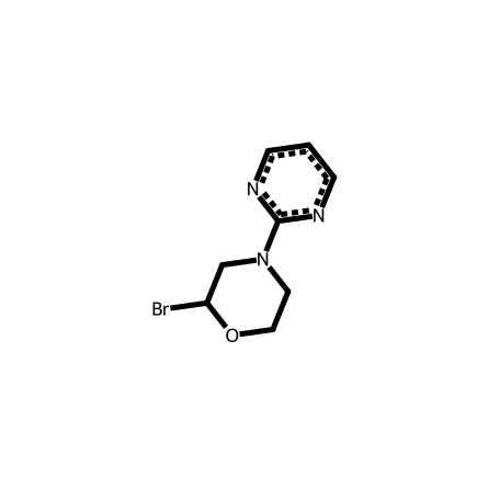 BrC1CN(c2ncccn2)CCO1